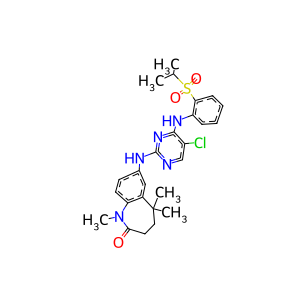 CC(C)S(=O)(=O)c1ccccc1Nc1nc(Nc2ccc3c(c2)C(C)(C)CCC(=O)N3C)ncc1Cl